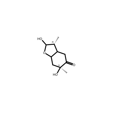 C[C@H]1C(O)OC2C[C@](C)(O)C(=O)CC21